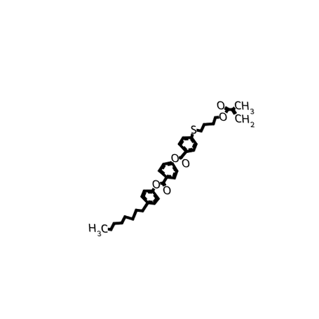 C=C(C)C(=O)OCCCCSc1ccc(C(=O)Oc2ccc(C(=O)Oc3ccc(CCCCCCCC)cc3)cc2)cc1